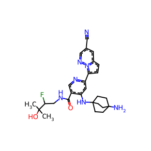 CC(C)(O)C(F)CNC(=O)c1cnc(-c2ccc3cc(C#N)cnn23)cc1NC12CCC(N)(CC1)CC2